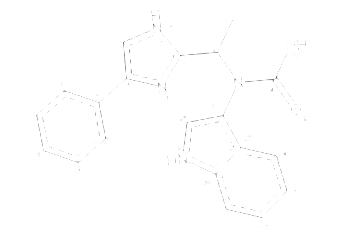 CC(c1nc(-c2ccccc2)c[nH]1)N(C(=O)O)c1c[nH]c2ccccc12